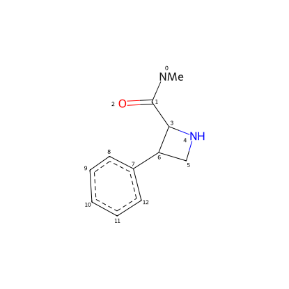 CNC(=O)C1NCC1c1ccccc1